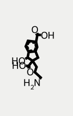 NCCCC1(C(=O)O)Cc2cc(C(=O)O)ccc2C1O